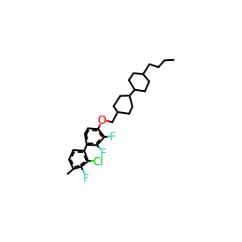 CCCCC1CCC(C2CCC(COc3ccc(-c4ccc(C)c(F)c4Cl)c(F)c3F)CC2)CC1